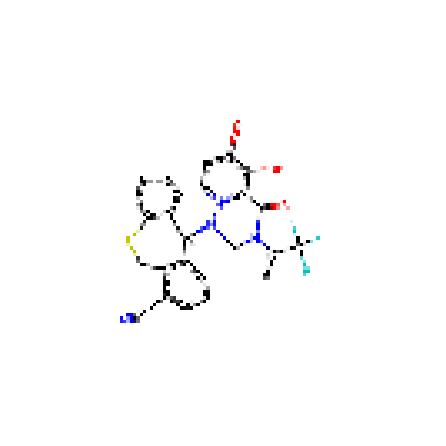 C[C@@H](N1CN([C@@H]2c3ccccc3SCc3c(C#N)cccc32)n2ccc(=O)c(O)c2C1=O)C(F)(F)F